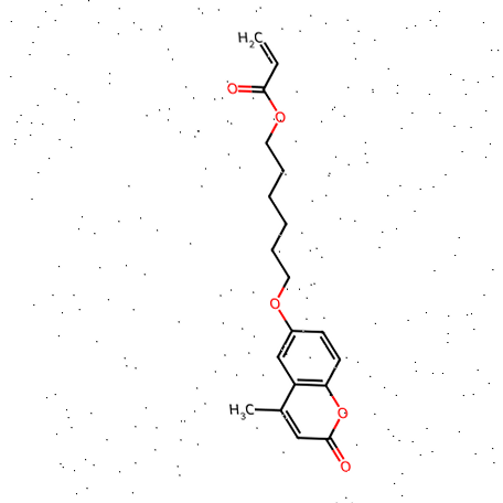 C=CC(=O)OCCCCCCOc1ccc2oc(=O)cc(C)c2c1